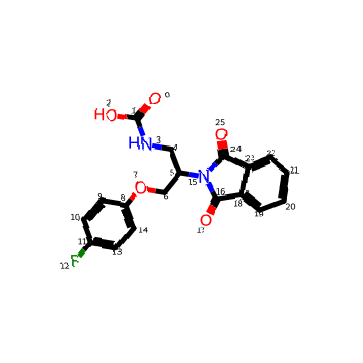 O=C(O)NCC(COc1ccc(F)cc1)N1C(=O)c2ccccc2C1=O